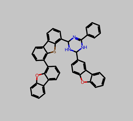 c1ccc(C2=NC(c3cccc4c3sc3c(-c5cccc6c5oc5ccccc56)cccc34)NC(c3ccc4oc5ccccc5c4c3)N2)cc1